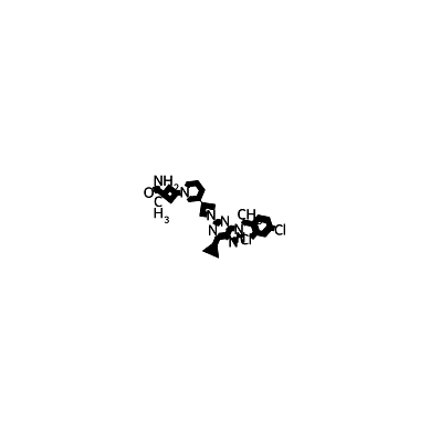 C[C@H](c1ccc(Cl)cc1Cl)n1nnc2c(C3CC3)nc(N3CC([C@H]4CCCN(C5CC(C)(C(N)=O)C5)C4)C3)nc21